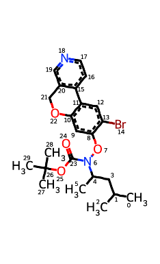 CC(C)CC(C)N(Oc1cc2c(cc1Br)-c1ccncc1CO2)C(=O)OC(C)(C)C